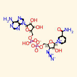 [N-]=[N+]=NC1[C@@H](O)[C@H]([n+]2cccc(C(N)=O)c2)O[C@@H]1COP(=O)([O-])OP(=O)(O)OC[C@H]1O[C@@H](n2cnc3c(N)ncnc32)[C@H](O)[C@@H]1O